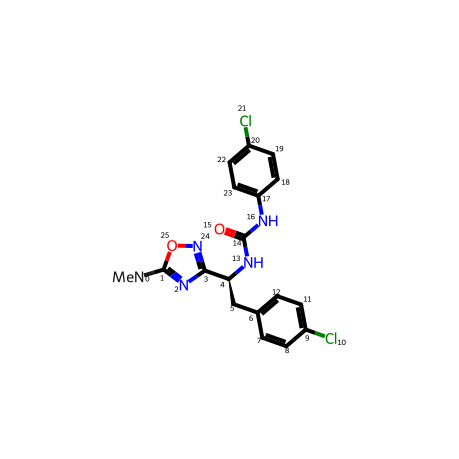 CNc1nc([C@H](Cc2ccc(Cl)cc2)NC(=O)Nc2ccc(Cl)cc2)no1